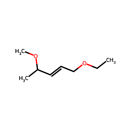 CCOCC=CC(C)OC